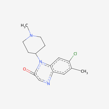 Cc1cc2ncc(=O)n(C3CCN(C)CC3)c2cc1Cl